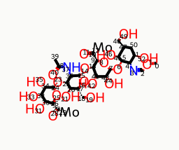 CO/C=N\[C@@H]1[C@@H](O[C@@H]2O[C@H]([C](=O)[Mo])[C@@H](O[C@@H]3O[C@H](CO)[C@@H](O)[C@H](O[C@@H]4O[C@H]([C](=O)[Mo])[C@@H](O)[C@H](O)[C@H]4O)[C@H]3NC(C)=O)[C@H](O)[C@H]2O)[C@H](O)[C@@H](CO)C[C@H]1O